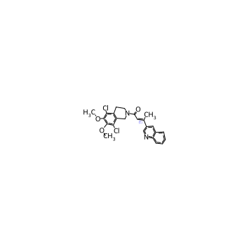 COc1c(Cl)c2c(c(Cl)c1OC)CN(C(=O)/C=C(\C)c1cnc3ccccc3c1)CC2